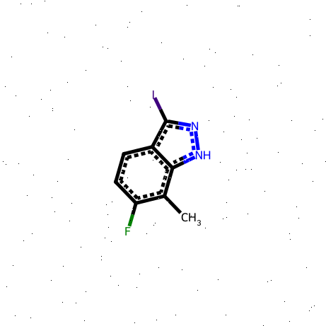 Cc1c(F)ccc2c(I)n[nH]c12